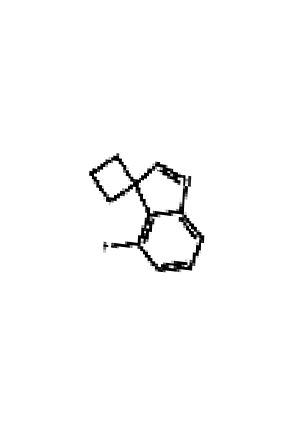 Fc1cccc2c1C1(C=N2)CCC1